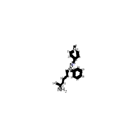 C[n+]1ccc(/C=N/N(CCCCC(N)I)c2ccccc2)cc1